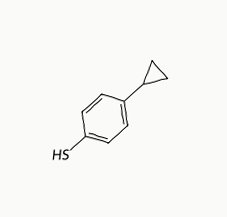 Sc1ccc(C2CC2)cc1